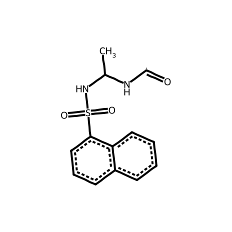 CC(N[C]=O)NS(=O)(=O)c1cccc2ccccc12